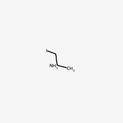 CCCI.N